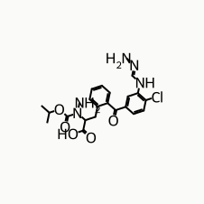 CC(C)OC(=O)N(N)C(Cc1ccccc1C(=O)c1ccc(Cl)c(NC=NN)c1)C(=O)O